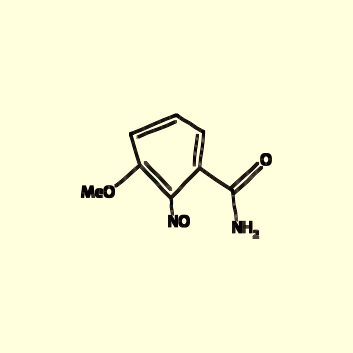 COc1cccc(C(N)=O)c1N=O